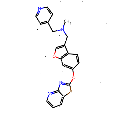 CN(Cc1ccncc1)Cc1coc2cc(Oc3nc4ncccc4s3)ccc12